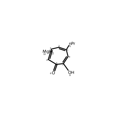 CCCc1cccc(=O)c(O)c1.[MgH2]